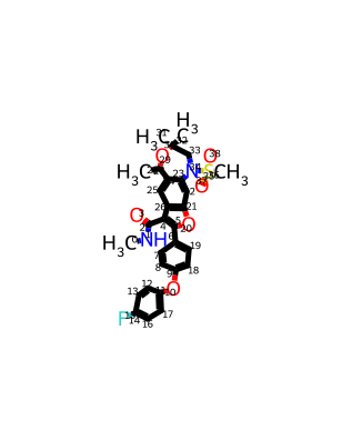 CNC(=O)c1c(-c2ccc(Oc3ccc(F)cc3)cc2)oc2cc3c(cc12)C(C)OC(C)(C)CN3S(C)(=O)=O